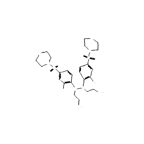 COCCN(c1ccc(S(=O)(=O)N2CCOCC2)cc1[N+](=O)[O-])N(CCOC)c1ccc(S(=O)(=O)N2CCOCC2)cc1[N+](=O)[O-]